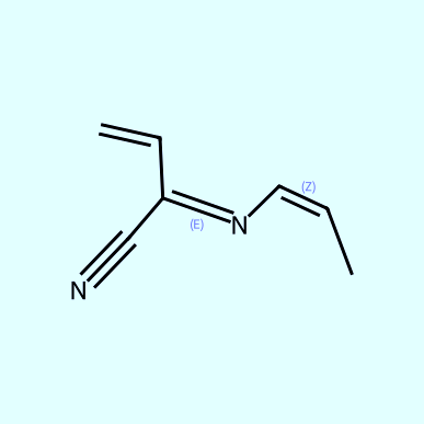 C=C/C(C#N)=N\C=C/C